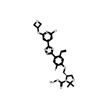 C=Cc1cc(OC[C@H]2COC(C)(C)N2C(=O)OC(C)(C)C)c(F)cc1-c1nnc(-c2cc(Cl)nc(OC3COC3)c2)s1